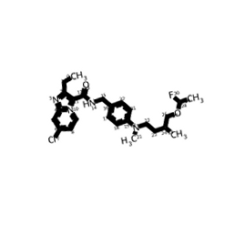 CCc1nc2cc(Cl)ccn2c1C(=O)NCc1ccc(N(C)CCC(C)COC(C)F)cc1